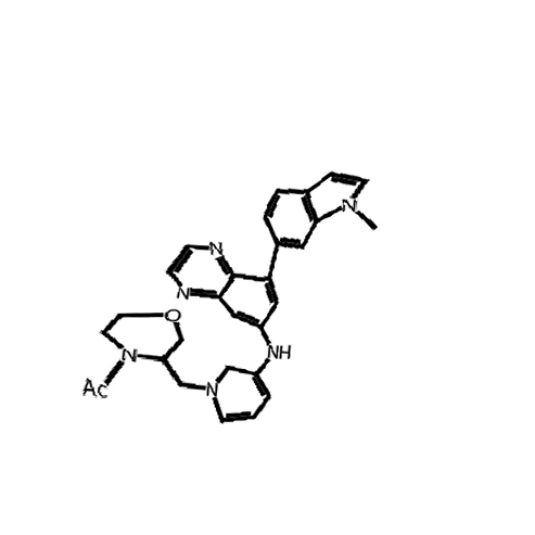 CC(=O)N1CCOCC1CN1C=CC=C(Nc2cc(-c3ccc4ccn(C)c4c3)c3nccnc3c2)C1